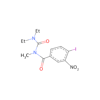 CCN(CC)C(=O)N(C)C(=O)c1ccc(I)c([N+](=O)[O-])c1